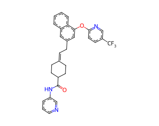 O=C(Nc1cccnc1)C1CCC(=CCc2cc(Oc3ccc(C(F)(F)F)cn3)c3ccccc3c2)CC1